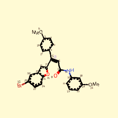 COc1ccc(/C(=C/C(=O)Nc2cccc(OC)c2)c2cc3cc(Br)ccc3o2)cc1